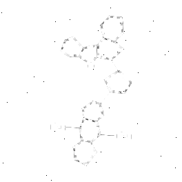 CC(C)(C)c1c2ccccc2c(C(C)(C)C)c2cc(-c3cccc(-c4cc5ccccc5c5c4oc4ccccc45)c3)ccc12